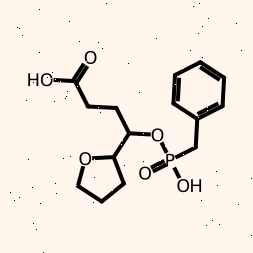 O=C(O)CCC(OP(=O)(O)Cc1ccccc1)C1CCCO1